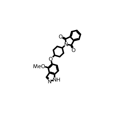 COc1c(OC2CCC(N3C(=O)c4ccccc4C3=O)CC2)ccc2[nH]ncc12